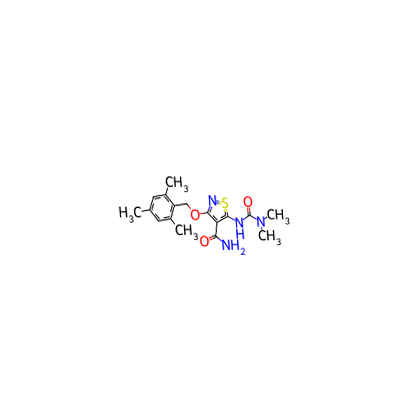 Cc1cc(C)c(COc2nsc(NC(=O)N(C)C)c2C(N)=O)c(C)c1